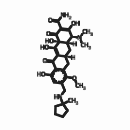 COc1c(CNC2(C)CCCC2)cc(O)c2c1C[C@H]1C[C@H]3[C@H](N(C)C)C(O)=C(C(N)=O)C(=O)[C@@]3(O)C(O)=C1C2=O